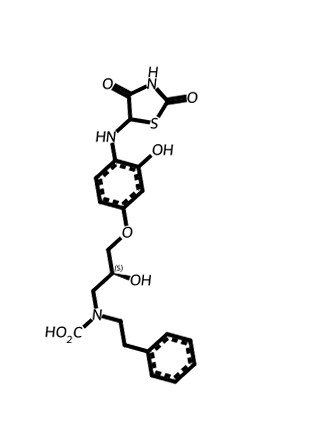 O=C1NC(=O)C(Nc2ccc(OC[C@@H](O)CN(CCc3ccccc3)C(=O)O)cc2O)S1